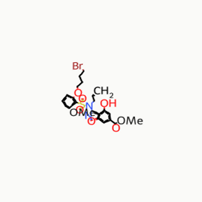 C=CCN(c1noc2cc(C(=O)OC)cc(O)c12)S(=O)(=O)c1c(OC)cccc1OCCCCBr